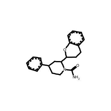 NC(=O)N1CCC(c2ccccc2)CC1C1CCc2ccccc2O1